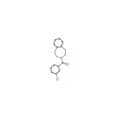 O=C(c1cccc(Cl)c1)N1CCc2ccccc2CC1